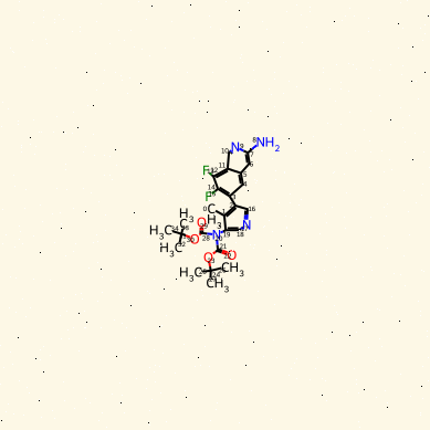 Cc1c(-c2cc3cc(N)ncc3c(F)c2F)cncc1N(C(=O)OC(C)(C)C)C(=O)OC(C)(C)C